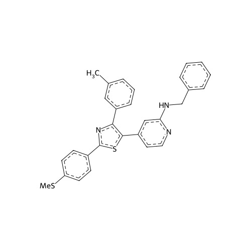 CSc1ccc(-c2nc(-c3cccc(C)c3)c(-c3ccnc(NCc4ccccc4)c3)s2)cc1